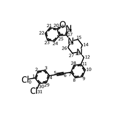 Clc1ccc(C#Cc2cccc(CN3CCN(c4noc5ccccc45)CC3)c2)cc1Cl